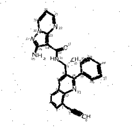 C#Cc1cccc2cc([C@@H](C)NC(=O)c3c(N)nn4cccnc34)c(-c3ccccc3)nc12